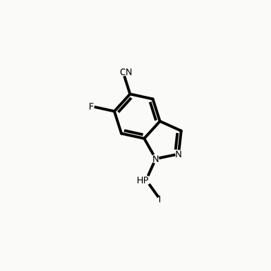 N#Cc1cc2cnn(PI)c2cc1F